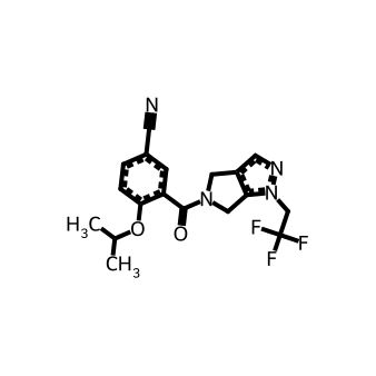 CC(C)Oc1ccc(C#N)cc1C(=O)N1Cc2cnn(CC(F)(F)F)c2C1